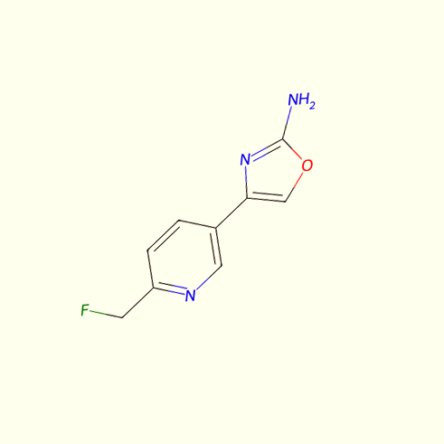 Nc1nc(-c2ccc(CF)nc2)co1